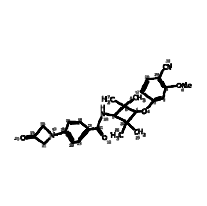 COc1cc(OC2C(C)(C)C(NC(=O)c3ccc(N4CC(=O)C4)cc3)C2(C)C)ccc1C#N